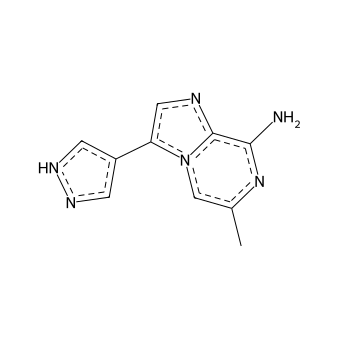 Cc1cn2c(-c3cn[nH]c3)cnc2c(N)n1